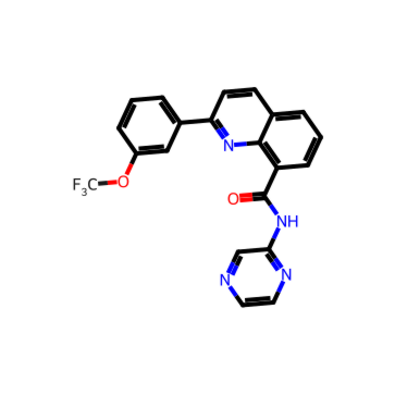 O=C(Nc1cnccn1)c1cccc2ccc(-c3cccc(OC(F)(F)F)c3)nc12